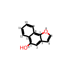 Oc1cc2[c]coc2c2ccccc12